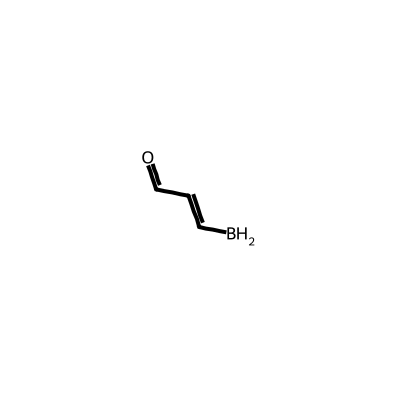 BC=CC=O